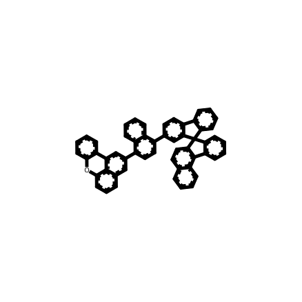 c1ccc2c(c1)Oc1cccc3cc(-c4ccc(-c5ccc6c(c5)C5(c7ccccc7-6)c6ccccc6-c6c5ccc5ccccc65)c5ccccc45)cc-2c13